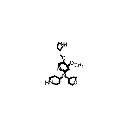 COc1cc(N(C2CCNCC2)C2CCOCC2)ncc1OC[C@@H]1CCNC1